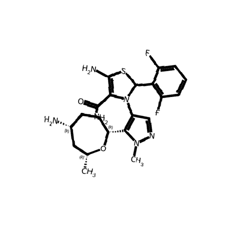 C[C@@H]1C[C@H](N)CC[C@H](c2c(N3C(C(N)=O)=C(N)SC3c3c(F)cccc3F)cnn2C)O1